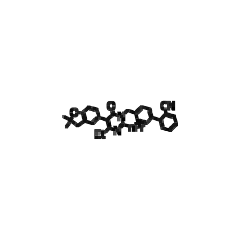 CCCc1nc(CC)c(-c2ccc3c(c2)CC(C)(C)O3)c(=O)n1Cc1ccc(-c2ccccc2C#N)cc1